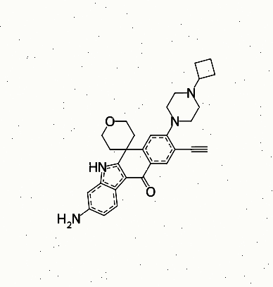 C#Cc1cc2c(cc1N1CCN(C3CCC3)CC1)C1(CCOCC1)c1[nH]c3cc(N)ccc3c1C2=O